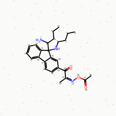 CCCCNC1(C(N)CCC)c2ccccc2-c2ccc(C(=O)/C(C)=N\OC(C)=O)cc21